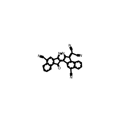 N#CC(C#N)=C1c2nnc3c(c2-c2cc(C#N)c4ccccc4c21)C(=O)c1c-3cc(C#N)c2ccccc12